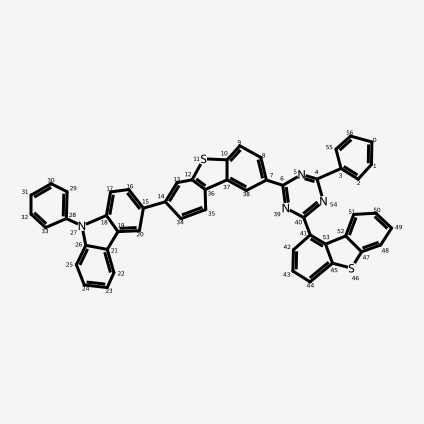 c1ccc(-c2nc(-c3ccc4sc5cc(-c6ccc7c(c6)c6ccccc6n7-c6ccccc6)ccc5c4c3)nc(-c3cccc4sc5ccccc5c34)n2)cc1